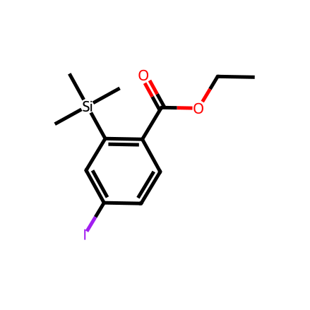 CCOC(=O)c1ccc(I)cc1[Si](C)(C)C